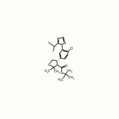 CC(C)(C)OC(=O)N1[C@@H](c2ccc(Cl)c(-n3ncnc3C(F)F)c2)COC1(C)C